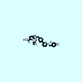 O=C(O)c1ccc2nc(CC3CC=C(c4cccc(OCc5ccc(Cl)cc5F)n4)CC3)n(C[C@@H]3CCO3)c2n1